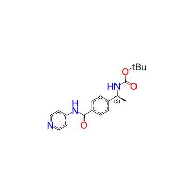 C[C@H](NC(=O)OC(C)(C)C)c1ccc(C(=O)Nc2ccncc2)cc1